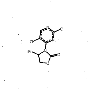 CC(C)C1COC(=O)N1c1nc(Cl)ncc1Cl